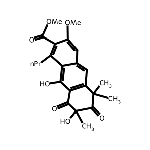 CCCc1c(C(=O)OC)c(OC)cc2cc3c(c(O)c12)C(=O)C(C)(O)C(=O)C3(C)C